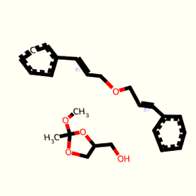 C(=C\c1ccccc1)/COC/C=C/c1ccccc1.COC1(C)OCC(CO)O1